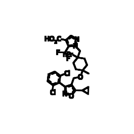 CCCC1(Cn2ncc(C(=O)O)c2C(F)F)CCC(C)(OCc2c(-c3c(Cl)cccc3Cl)noc2C2CC2)CC1